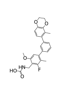 COc1cc(-c2cccc(-c3ccc4c(c3C)OCCO4)c2)c(C)c(F)c1CNC(=O)O